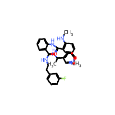 CNc1ccc(OC)cc1/C(=N\C(C)c1cccnc1)Nc1ccccc1C(=O)NCCc1cccc(F)c1